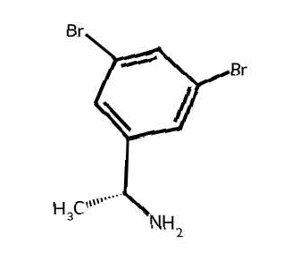 C[C@@H](N)c1cc(Br)cc(Br)c1